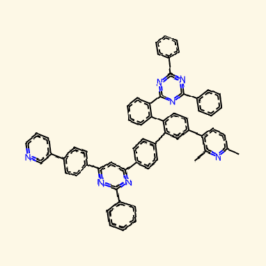 Cc1ccc(-c2ccc(-c3ccccc3-c3nc(-c4ccccc4)nc(-c4ccccc4)n3)c(-c3ccc(-c4cc(-c5ccc(-c6cccnc6)cc5)nc(-c5ccccc5)n4)cc3)c2)c(C)n1